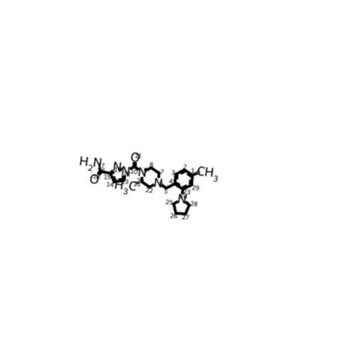 Cc1ccc(CN2CCN(C(=O)n3ccc(C(N)=O)n3)[C@@H](C)C2)c(N2CCCC2)c1